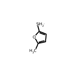 Cc1ccc([SiH2])o1